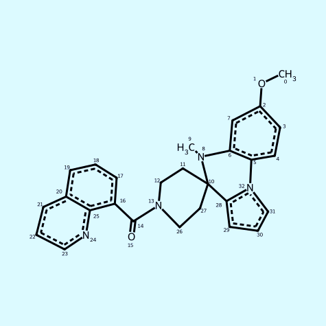 COc1ccc2c(c1)N(C)C1(CCN(C(=O)c3cccc4cccnc34)CC1)c1cccn1-2